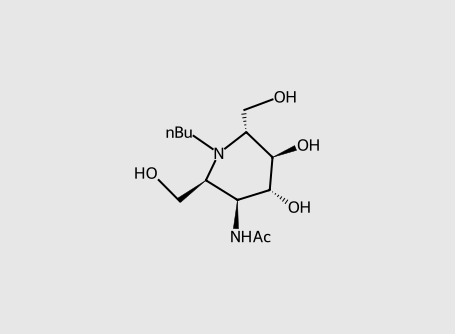 CCCCN1[C@H](CO)[C@@H](O)[C@H](O)[C@@H](NC(C)=O)[C@H]1CO